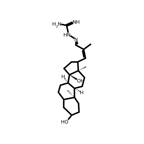 CC(C=NNC(=N)N)=CC1CC[C@@]2(O)[C@@H]3CCC4CC(O)CC[C@]4(C)[C@@H]3CC[C@]12C